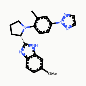 COc1ccc2nc([C@@H]3CCCN3c3ccc(-n4nccn4)[c]c3C)[nH]c2c1